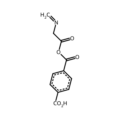 C=NCC(=O)OC(=O)c1ccc(C(=O)O)cc1